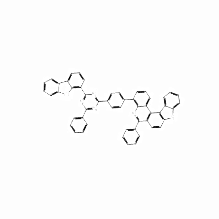 c1ccc(-c2nc(-c3ccc(-c4cccc5c4nc(-c4ccccc4)c4ccc6sc7ccccc7c6c45)cc3)nc(-c3cccc4c3oc3ccccc34)n2)cc1